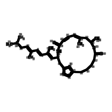 CC(/C=C/C(C)=C/C1Cc2nc(cs2)CCCCC(=O)OC(C)C/C(C)=C/C=C\C(=O)N1)=C\CN(C)C